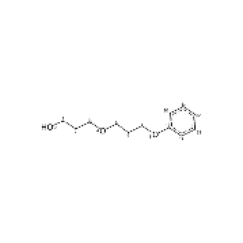 OCCCOCCCOc1ccccc1